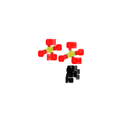 O=S(=O)(O)O.O=S(=O)(O)O.[AlH3].[AlH3].[Fe]